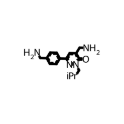 CC(C)Cn1nc(-c2ccc(CN)cc2)cc(CN)c1=O